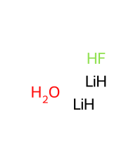 F.O.[LiH].[LiH]